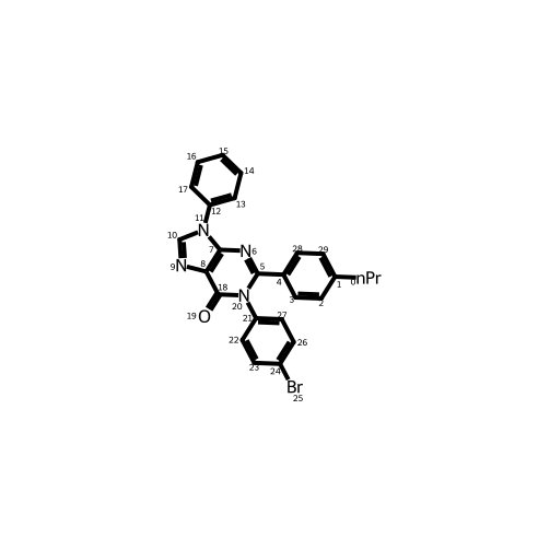 CCCc1ccc(-c2nc3c(ncn3-c3ccccc3)c(=O)n2-c2ccc(Br)cc2)cc1